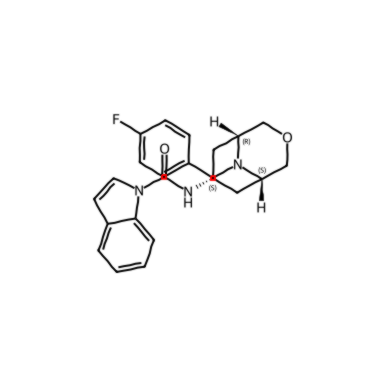 O=C(N[C@H]1C[C@H]2COC[C@@H](C1)N2Cc1ccc(F)cc1)n1ccc2ccccc21